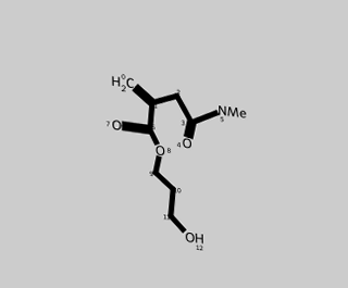 C=C(CC(=O)NC)C(=O)OCCCO